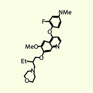 CCC(COc1cc2nccc(Oc3ccc(NC)cc3F)c2cc1OC)CN1CCOCC1